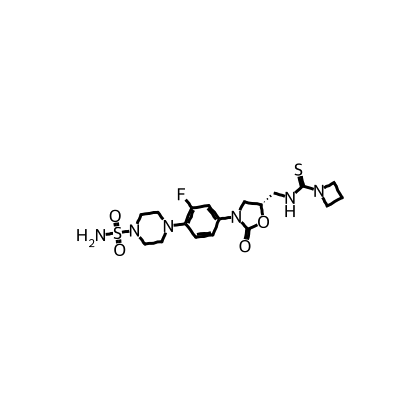 NS(=O)(=O)N1CCN(c2ccc(N3C[C@H](CNC(=S)N4CCC4)OC3=O)cc2F)CC1